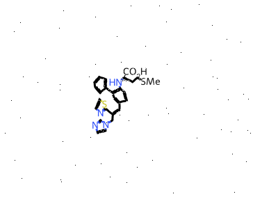 CSCC[C@H](Nc1ccc(C=C(Cn2ccnc2)c2nccs2)cc1-c1ccccc1)C(=O)O